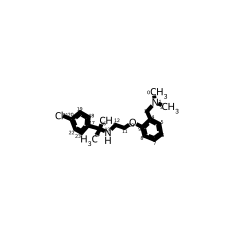 CN(C)Cc1ccccc1OCCNC(C)(C)c1ccc(Cl)cc1